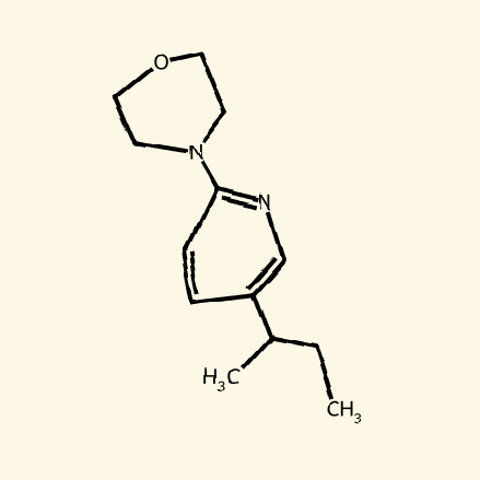 CCC(C)c1ccc(N2CCOCC2)nc1